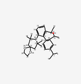 CC(C)c1ccc(-c2c(C(C)C)cccc2P2C(C)(C)CC3(CC2(C)C)OCCO3)c(C(C)C)c1